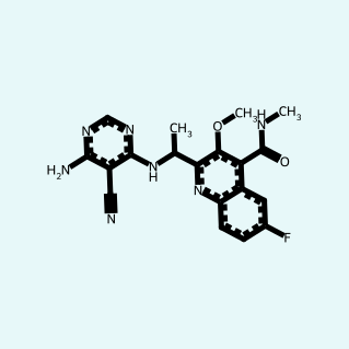 CNC(=O)c1c(OC)c(C(C)Nc2ncnc(N)c2C#N)nc2ccc(F)cc12